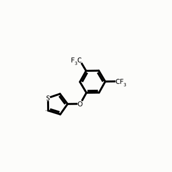 FC(F)(F)c1cc(Oc2c[c]sc2)cc(C(F)(F)F)c1